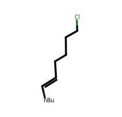 CCCC/C=C/CCCCCl